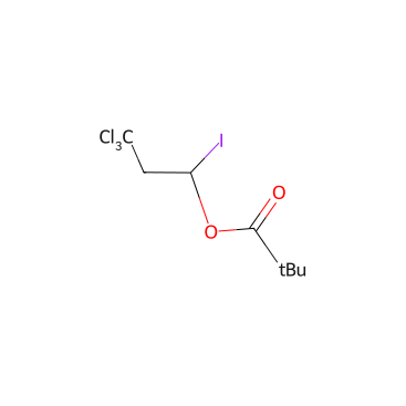 CC(C)(C)C(=O)OC(I)CC(Cl)(Cl)Cl